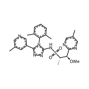 CO[C@H](c1ncc(C)cn1)[C@H](C)S(=O)(=O)Nc1nnc(-c2cncc(C)c2)n1-c1c(C)cccc1C